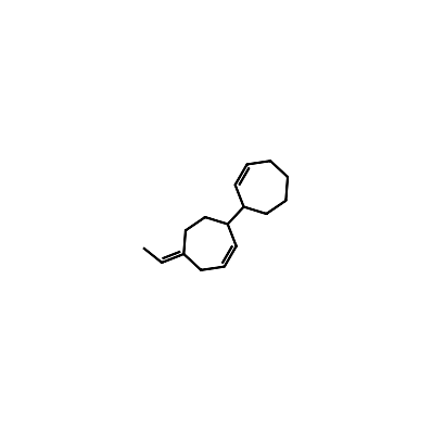 CC=C1CC=CC(C2C=CCCCC2)CC1